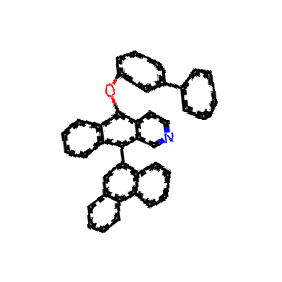 c1ccc(-c2cccc(Oc3c4ccccc4c(-c4cc5ccccc5c5ccccc45)c4cnccc34)c2)cc1